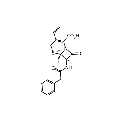 C=CC1=C(C(=O)O)N2C(=O)[C@@H](NC(=O)Cc3ccccc3)[C@@H]2SC1